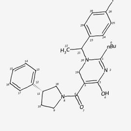 CCCCC1=NC(O)=C(C(=O)N2CC[C@H](c3ccccc3)C2)CN1C(C)c1ccc(F)cc1